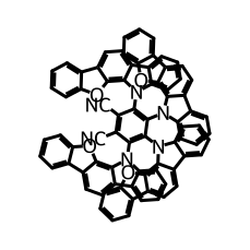 N#Cc1c(C#N)c(-n2c3ccccc3c3ccc4c5ccccc5oc4c32)c(-n2c3ccccc3c3ccc4c5ccccc5oc4c32)c(-n2c3ccccc3c3ccc4c5ccccc5oc4c32)c1-n1c2ccccc2c2ccc3c4ccccc4oc3c21